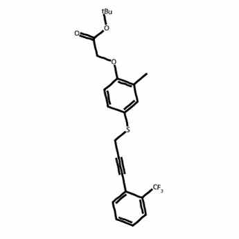 Cc1cc(SCC#Cc2ccccc2C(F)(F)F)ccc1OCC(=O)OC(C)(C)C